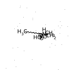 C=C(C)C(=O)NC(CCCCCCCCCCCCC)CS(=O)(=O)O